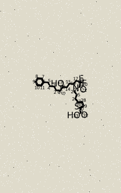 C[C@H](CCCCc1ccccc1)[C@H](O)CCC1CC(F)(F)C(=O)N1CCCc1ccc(C(=O)O)s1